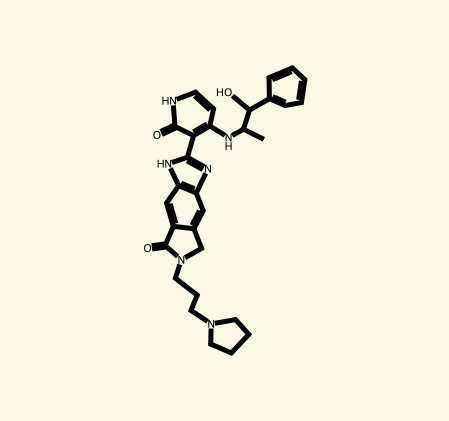 CC(Nc1cc[nH]c(=O)c1-c1nc2cc3c(cc2[nH]1)C(=O)N(CCCN1CCCC1)C3)C(O)c1ccccc1